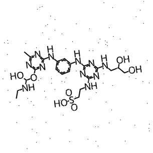 CCNC(O)Oc1nc(C)nc(Nc2cccc(Nc3nc(NCCS(=O)(=O)O)nc(NCC(O)CO)n3)c2)n1